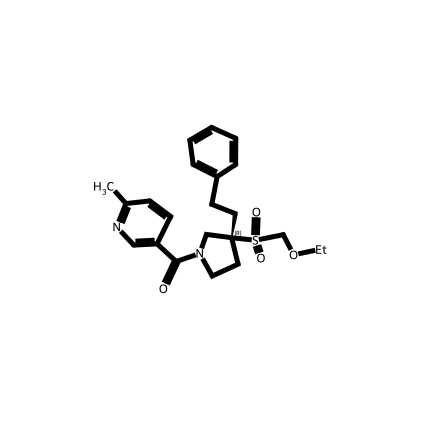 CCOCS(=O)(=O)[C@]1(CCc2ccccc2)CCN(C(=O)c2ccc(C)nc2)C1